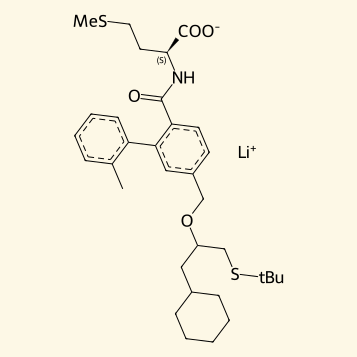 CSCC[C@H](NC(=O)c1ccc(COC(CSC(C)(C)C)CC2CCCCC2)cc1-c1ccccc1C)C(=O)[O-].[Li+]